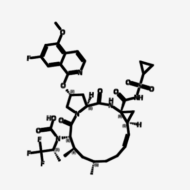 COc1cc(F)cc2c(O[C@@H]3C[C@H]4C(=O)N[C@]5(C(=O)NS(=O)(=O)C6CC6)C[C@H]5C=CCC[C@H](C)C[C@@H](C)[C@H](N(C(=O)O)[C@H](C)C(F)(F)F)C(=O)N4C3)nccc12